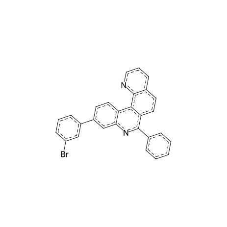 Brc1cccc(-c2ccc3c(c2)nc(-c2ccccc2)c2ccc4cccnc4c23)c1